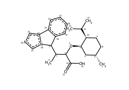 CC(C(O[C@@H]1C[C@@H](C)CC[C@@H]1C(C)C)C(=O)O)C1c2ccccc2-c2cncn21